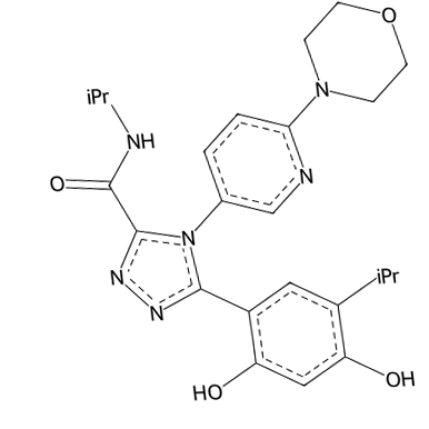 CC(C)NC(=O)c1nnc(-c2cc(C(C)C)c(O)cc2O)n1-c1ccc(N2CCOCC2)nc1